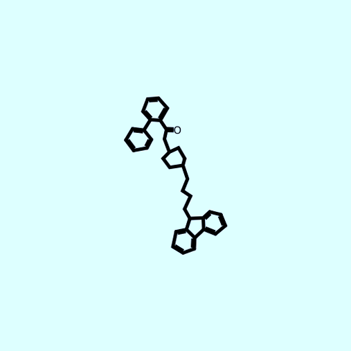 O=C(CC1CCC(CCCCC2c3ccccc3-c3ccccc32)CC1)c1ccccc1-c1ccccc1